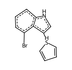 Brc1cccc2[nH]cc([SH]3C=CC=C3)c12